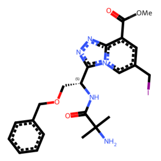 COC(=O)c1cc(CI)cn2c([C@@H](COCc3ccccc3)NC(=O)C(C)(C)N)nnc12